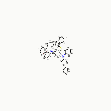 c1ccc(-c2ccc(N(c3ccccc3)c3ccc(N(c4ccccc4)c4ccccc4-c4ccccc4)c4c3sc3c5ccccc5ccc34)cc2)cc1